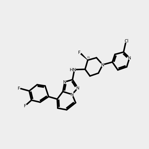 Fc1ccc(-c2cccn3nc(NC4CCN(c5ccnc(Cl)c5)C[C@@H]4F)nc23)cc1F